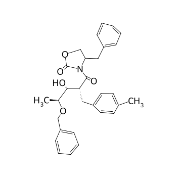 Cc1ccc(C[C@@H](C(=O)N2C(=O)OCC2Cc2ccccc2)[C@@H](O)[C@H](C)OCc2ccccc2)cc1